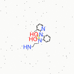 CNCCCN1c2ccccc2N(c2ncccc2C)S1(O)O